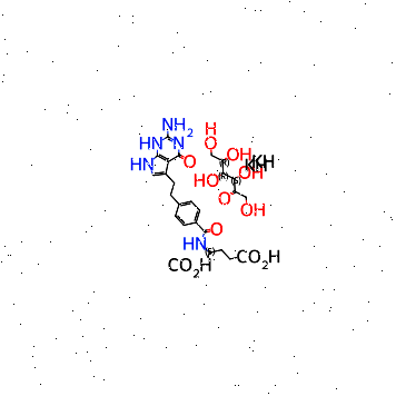 Nc1nc(=O)c2c(CCc3ccc(C(=O)N[C@@H](CCC(=O)O)C(=O)O)cc3)c[nH]c2[nH]1.O=C(CO)[C@@H](O)[C@H](O)[C@H](O)CO.[KH].[KH]